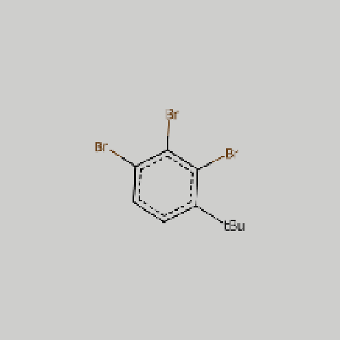 CC(C)(C)c1ccc(Br)c(Br)c1Br